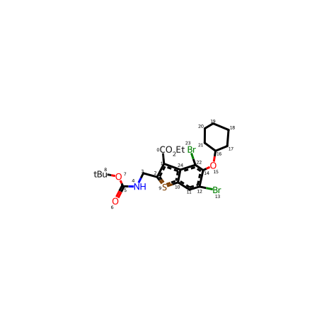 CCOC(=O)c1c(CNC(=O)OC(C)(C)C)sc2cc(Br)c(OC3CCCCC3)c(Br)c12